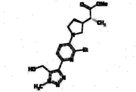 CCc1nc(-c2nnn(C)c2CO)ccc1N1CC[C@@H]([C@@H](C)C(=O)OC)C1